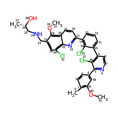 [CH2]c1ccc(-c2nccc(-c3cccc(-c4ccc5c(OC)c(CNC[C@H](C)O)cc(Cl)c5n4)c3Cl)c2Cl)cc1OC